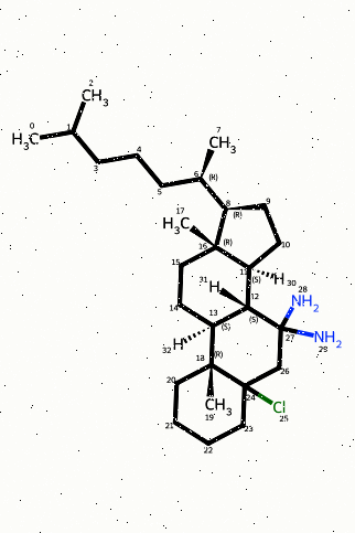 CC(C)CCC[C@@H](C)[C@H]1CC[C@H]2[C@H]3[C@H](CC[C@]12C)[C@@]1(C)CCCCC1(Cl)CC3(N)N